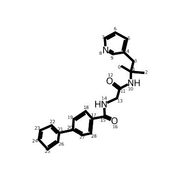 CC(C)(Cc1cccnc1)NC(=O)CNC(=O)c1ccc(-c2ccccc2)cc1